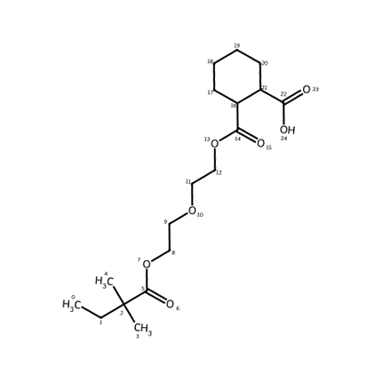 CCC(C)(C)C(=O)OCCOCCOC(=O)C1CCCCC1C(=O)O